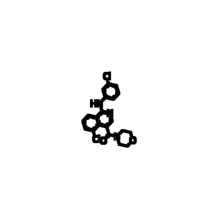 O=C(c1cnc(Nc2cccc(Cl)c2)c2cccc(Cl)c12)N1CCOCC1